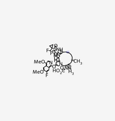 COc1cc2c(OC)cnc(O[C@@H]3C[C@H]4C(=O)NC5(C(=O)NS(=O)(=O)C6(C(F)F)CC6)CC5/C=C\CC[C@H](C)C[C@@H](C)[C@H](NC(=O)O)C(=O)N4C3)c2cc1F